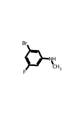 CNc1cc(F)cc(Br)c1